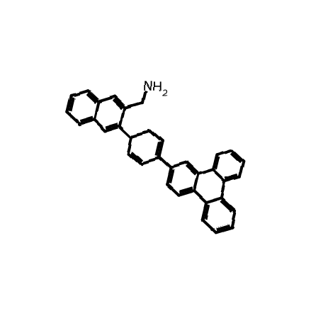 NCc1cc2ccccc2cc1C1C=CC(c2ccc3c4ccccc4c4ccccc4c3c2)=CC1